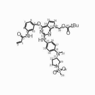 C=CC(=O)Nc1cccc(Oc2nc(Nc3ccc(N(C)[C@H]4CCN(S(C)(=O)=O)C4)cc3)nc3c2ccn3COC(=O)C(C)(C)C)c1